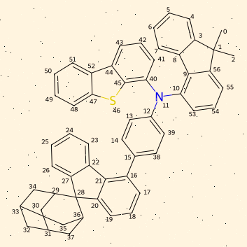 CC1(C)c2ccccc2-c2c(N(c3ccc(-c4cccc5c4-c4ccccc4C54C5CC6CC(C5)CC4C6)cc3)c3cccc4c3sc3ccccc34)cccc21